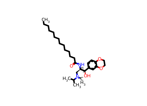 CCCCCCCCCCCCCC(=O)N[C@H](CN(C)C(C)C)[C@H](O)c1ccc2c(c1)OCCO2